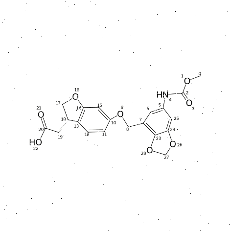 COC(=O)Nc1cc(COc2ccc3c(c2)OC[C@H]3CC(=O)O)c2c(c1)OCO2